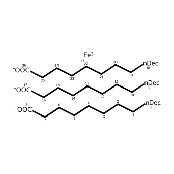 CCCCCCCCCCCCCCCCCC(=O)[O-].CCCCCCCCCCCCCCCCCC(=O)[O-].CCCCCCCCCCCCCCCCCC(=O)[O-].[Fe+3]